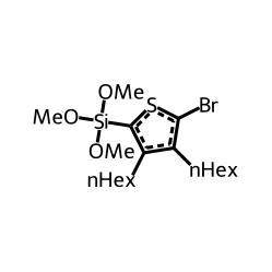 CCCCCCc1c(Br)sc([Si](OC)(OC)OC)c1CCCCCC